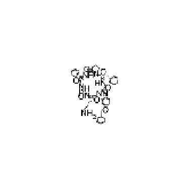 NCCCC[C@@H]1NC(=O)CNC(=O)[C@H](c2ccccc2)NC(=O)[C@@H]2CCCN2C(=O)[C@H](Cc2ccccc2)NC(=O)[C@H](Cc2ccc(OCc3ccccc3)cc2)NC1=O